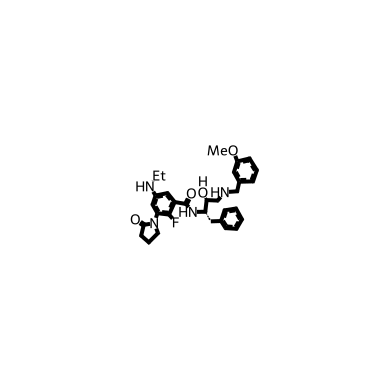 CCNc1cc(C(=O)N[C@@H](Cc2ccccc2)[C@@H](O)CNCc2cccc(OC)c2)c(F)c(N2CCCC2=O)c1